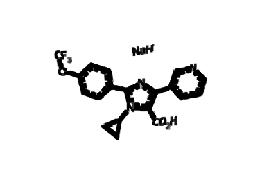 O=C(O)c1c(-c2cccnc2)nc(-c2ccc(OC(F)(F)F)cc2)n1C1CC1.[NaH]